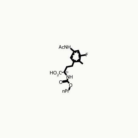 CCCOC(=O)N[C@@H](CCc1cc(NC(C)=O)cc(F)c1C)C(=O)O